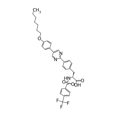 CCCCCCCOc1ccc(-c2cnc(-c3ccc(C[C@H](NS(=O)(=O)c4ccc(C(F)(F)F)cc4)C(=O)O)cc3)nc2)cc1